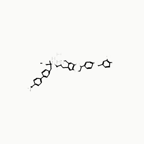 COC(=O)C(C)(Cc1ccc(-c2ccc(C#N)cc2)cc1)NC(=O)C1Cc2cc3c(cc2CN1)OC(c1ccc(OCc2ccc(Cl)c(Cl)c2)cc1)CO3.Cl